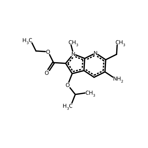 CCOC(=O)c1c(OC(C)C)c2cc(N)c(CC)nc2n1C